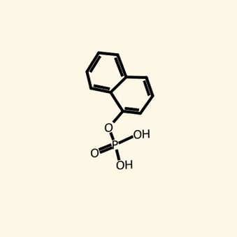 O=P(O)(O)Oc1cccc2ccccc12